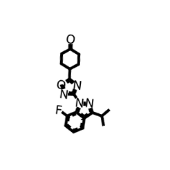 CC(C)c1nn(-c2noc(C3CCC(=O)CC3)n2)c2c(F)cccc12